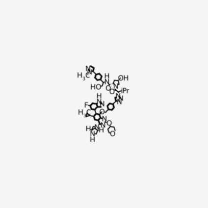 Cc1c(F)cc2[nH]ncc2c1-c1c(C2CC2)cc2c(N3C[C@@H]4C[C@H]3CN4)nc(OC3CCOCC3)nc2c1OCc1ccc(-c2cn(C(C(=O)N3C[C@H](O)C[C@H]3C(=O)NC(CO)c3ccc(-c4ccnn4C)cc3)C(C)C)nn2)cc1